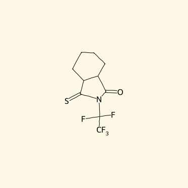 O=C1C2CCCCC2C(=S)N1C(F)(F)C(F)(F)F